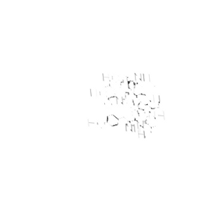 CC(C)C[C@@H](C(=O)O)N(C)C(=O)[C@H](CC(=O)O)NC(=O)[C@H](CC(N)=O)NC(=O)[C@@H](NC(=O)[C@@H](NC(=O)[C@@H](N)Cc1ccc(O)cc1)C(C)C)C(C)C